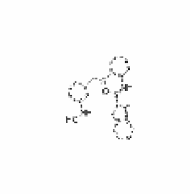 [O-][S+](Nc1ccccc1SCc1cccc(NO)c1)c1cc2ccccc2o1